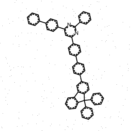 c1ccc(-c2ccc(-c3cc(-c4ccc(-c5ccc(-c6ccc7c(c6)-c6ccccc6C7(c6ccccc6)c6ccccc6)cc5)cc4)nc(-c4ccccc4)n3)cc2)cc1